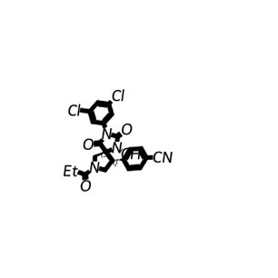 CCC(=O)N1C[C@@H](c2ccc(C#N)cc2)[C@]2(C1)C(=O)N(c1cc(Cl)cc(Cl)c1)C(=O)N2C